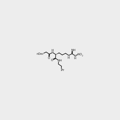 CCCCCCCCCCCC(=O)N[C@@H](CCCNC(=N)N[N+](=O)[O-])C(=O)NCCC(C)C